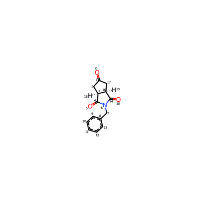 O=C1C[C@@H]2C(=O)N(Cc3ccccc3)C(=O)[C@@H]2C1